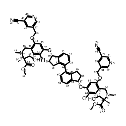 COC(=O)[C@](C)(CO)N(C)Cc1cc(Cl)c(O[C@H]2CCc3c(-c4cccc5c4CC[C@@H]5Oc4cc(OCc5cncc(C#N)c5)c(CN(C)[C@@](C)(CO)C(=O)OC)cc4Cl)cccc32)cc1OCc1cncc(C#N)c1